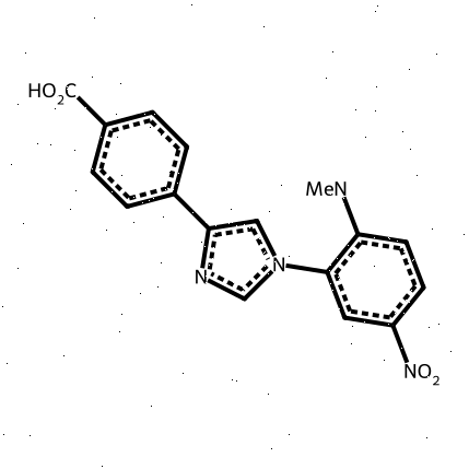 CNc1ccc([N+](=O)[O-])cc1-n1cnc(-c2ccc(C(=O)O)cc2)c1